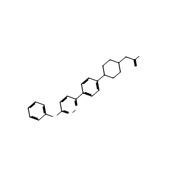 O=C(O)CC1CCC(c2ccc(-c3ccc(Nc4ccccc4)nn3)cc2)CC1